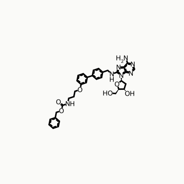 Nc1ncnc2c1nc(NCc1ccc(-c3cccc(OCCCNC(=O)OCc4ccccc4)c3)cc1)n2[C@H]1C[C@H](O)[C@@H](CO)O1